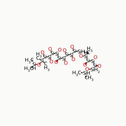 C[SiH](C)O[SiH2][Si](=O)[Si](=O)[Si](=O)[SiH](C)O[SiH2][Si](=O)[Si](=O)[Si](=O)[Si](=O)[Si](=O)[Si](=O)[Si](=O)[Si](=O)[Si](=O)[Si](C)(C)O[SiH](C)C